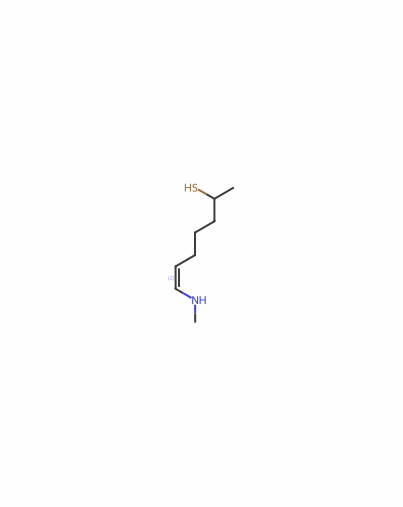 CN/C=C\CCCC(C)S